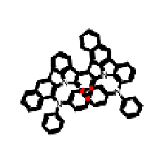 c1ccc(N(c2ccccc2)c2cccc3c4cc5ccccc5c5c6c7c8cccc9c%10cc%11ccccc%11c(N(c%11ccccc%11)c%11ccccc%11)c%10n(c7ncc6n(c23)c45)c98)cc1